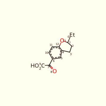 CCC1CCc2cc(C(=O)C(=O)O)ccc2O1